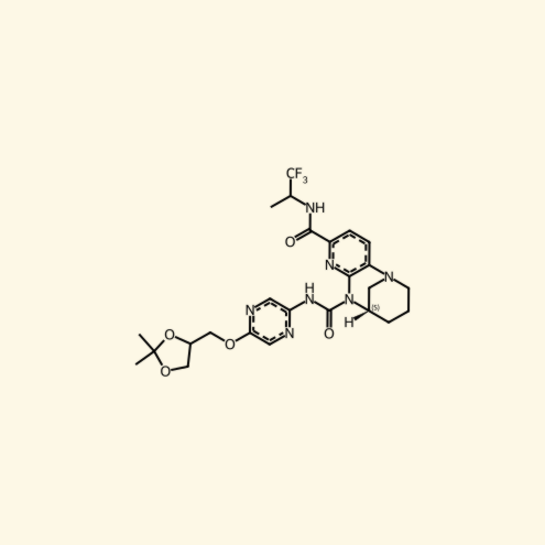 CC(NC(=O)c1ccc2c(n1)N(C(=O)Nc1cnc(OCC3COC(C)(C)O3)cn1)[C@H]1CCCN2C1)C(F)(F)F